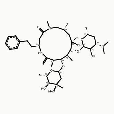 CO[C@]1(C)C[C@H](O[C@H]2[C@H](C)[C@@H](O[C@@H]3O[C@H](C)C[C@H](N(C)C)[C@H]3O)[C@](C)(O)C[C@@H](C)CN(C)C(=O)C[C@H](CCc3ccccc3)NC(=O)[C@@H]2C)O[C@@H](C)[C@@H]1O